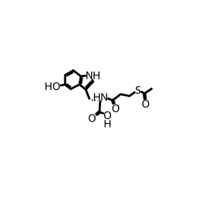 CC(=O)SCCC(=O)N[C@@H](Cc1c[nH]c2ccc(O)cc12)C(=O)O